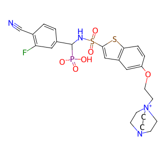 N#Cc1ccc(C(NS(=O)(=O)c2cc3cc(OCC[N+]45CCN(CC4)CC5)ccc3s2)P(=O)([O-])O)cc1F